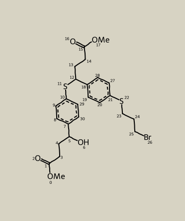 COC(=O)CCC(O)c1ccc(SC(CCC(=O)OC)c2ccc(SCCCBr)cc2)cc1